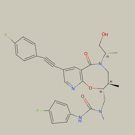 C[C@@H]1CN([C@@H](C)CO)C(=O)c2cc(C#Cc3ccc(F)cc3)cnc2O[C@H]1CN(C)C(=O)Nc1ccc(F)cc1